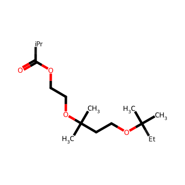 CCC(C)(C)OCCC(C)(C)OCCOC(=O)C(C)C